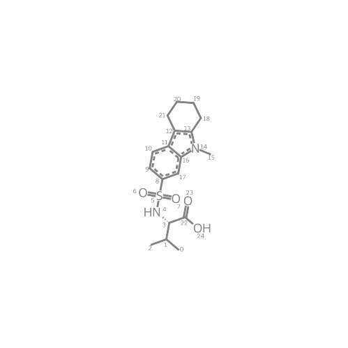 CC(C)[C@H](NS(=O)(=O)c1ccc2c3c(n(C)c2c1)CCCC3)C(=O)O